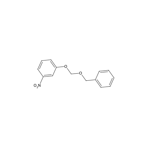 O=[N+]([O-])c1cccc(OCOCc2ccccc2)c1